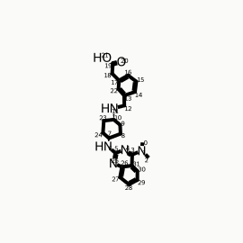 CN(C)c1nc(N[C@H]2CC[C@@H](NCc3cccc(CC(=O)O)c3)CC2)nc2ccccc12